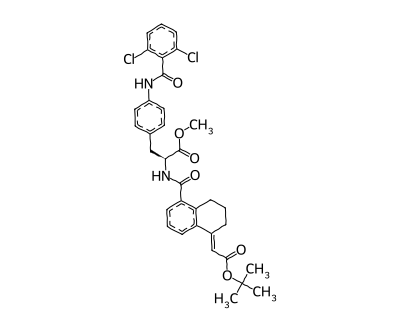 COC(=O)[C@H](Cc1ccc(NC(=O)c2c(Cl)cccc2Cl)cc1)NC(=O)c1cccc2c1CCC/C2=C\C(=O)OC(C)(C)C